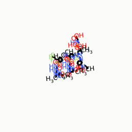 C#CCN1C(=O)COc2cc(F)c(/N=c3\snc4n3CC(C)(C)C4)cc21.COc1cc(OC)nc(NC(=O)NS(=O)(=O)c2ncccc2C(=O)N(C)C)n1.COc1nc(C)nc(NC(=O)NS(=O)(=O)c2ccccc2CCC(F)(F)F)n1.O=C(O)CNCP(=O)(O)O